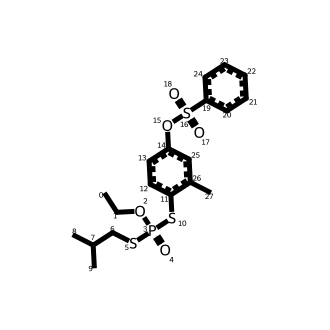 CCOP(=O)(SCC(C)C)Sc1ccc(OS(=O)(=O)c2ccccc2)cc1C